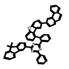 CC1(C)c2ccccc2-c2cc(-c3nc(-c4ccccc4)nc(-c4ccccc4-c4cccc5oc6ccc(-c7ccc8ccc9ccccc9c8c7)cc6c45)n3)ccc21